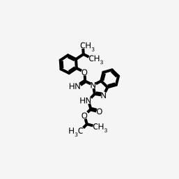 CC(C)OC(=O)Nc1nc2ccccc2n1C(=N)Oc1ccccc1C(C)C